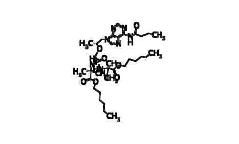 CCCCCCOC(=O)C(C)(C)NP(=O)(CO[C@H](C)Cn1cnc2c(NC(=O)CCC)ncnc21)NC(C)(C)C(=O)OCCCCCC